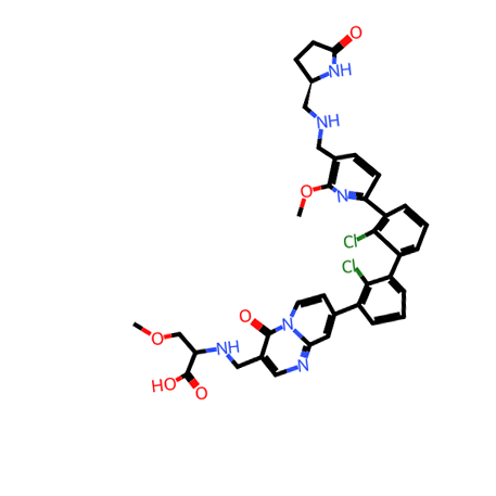 COCC(NCc1cnc2cc(-c3cccc(-c4cccc(-c5ccc(CNC[C@H]6CCC(=O)N6)c(OC)n5)c4Cl)c3Cl)ccn2c1=O)C(=O)O